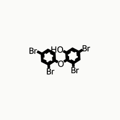 Oc1cc(Br)cc(Br)c1Oc1ccc(Br)cc1Br